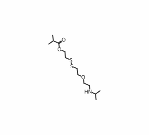 CC(C)NCCOCCSSCCOC(=O)C(C)C